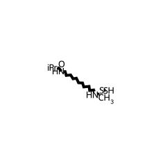 CC(NCCCCCCCCCCCNC(=O)C(C)C)SS